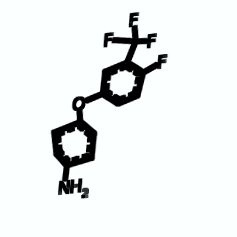 Nc1ccc(Oc2ccc(F)c(C(F)(F)F)c2)cc1